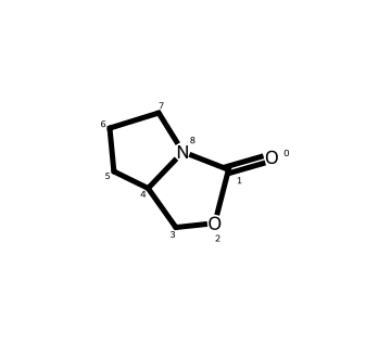 O=C1OCC2C[CH]CN12